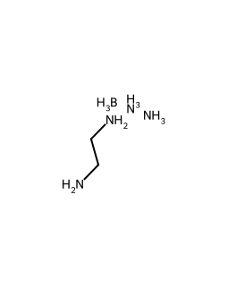 B.N.N.NCCN